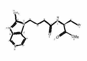 COC(=O)[C@H](CC(C)C)NC(=O)CCCn1c(C)nc2cnccc21